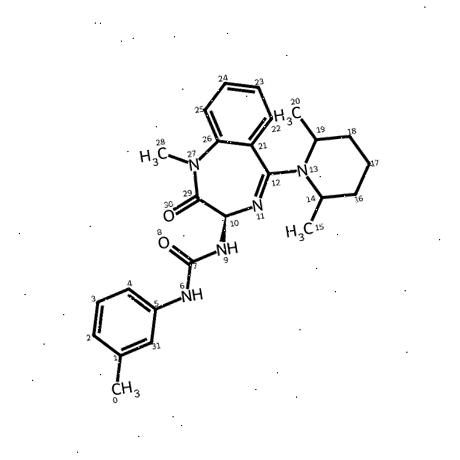 Cc1cccc(NC(=O)N[C@@H]2N=C(N3C(C)CCCC3C)c3ccccc3N(C)C2=O)c1